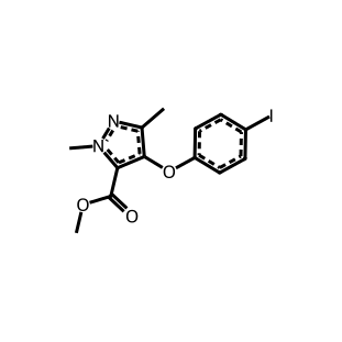 COC(=O)c1c(Oc2ccc(I)cc2)c(C)nn1C